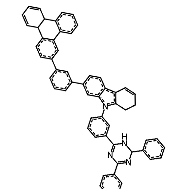 C1=CC2c3ccccc3-c3cc(-c4cccc(-c5ccc6c7c(n(-c8cccc(C9=NC(c%10ccccc%10)=NC(c%10ccccc%10)N9)c8)c6c5)CCC=C7)c4)ccc3C2C=C1